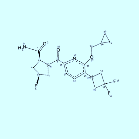 NC(=O)[C@@H]1C[C@H](F)CN1C(=O)c1ccc(N2CC(F)(F)C2)c(OCC2CC2)n1